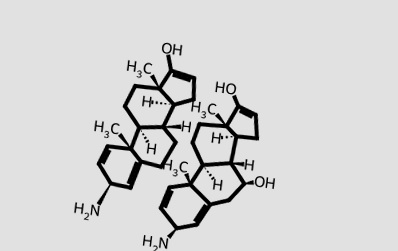 C[C@]12C=C[C@H](N)C=C1CC[C@@H]1[C@@H]2CC[C@]2(C)C(O)=CC[C@@H]12.C[C@]12C=C[C@H](N)C=C1C[C@H](O)[C@@H]1[C@@H]2CC[C@]2(C)C(O)=CC[C@@H]12